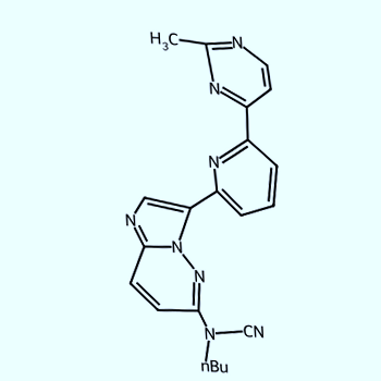 CCCCN(C#N)c1ccc2ncc(-c3cccc(-c4ccnc(C)n4)n3)n2n1